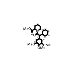 COC(=O)C1CCCCN1C(=O)C(c1cc(OC)c(OC)c(OC)c1)C1CCCCC1